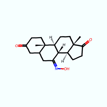 C[C@]12CCC(=O)CC1C/C(=N/O)[C@@H]1[C@@H]2CC[C@]2(C)C(=O)CC[C@@H]12